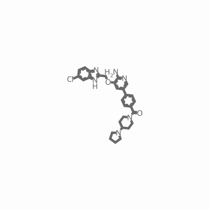 Nc1ncc(-c2ccc(C(=O)N3CCC(N4CCCC4)CC3)cc2)cc1OCc1nc2ccc(Cl)cc2[nH]1